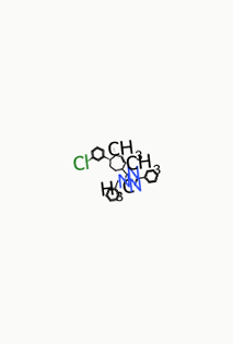 C\N=C(/N=C(\N=C\c1ccccc1)C1CC[C@@H](c2cccc(Cl)c2)[C@H](C)C=C1C)c1ccccc1